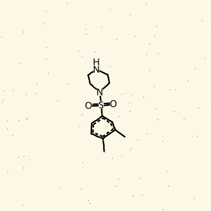 Cc1ccc(S(=O)(=O)N2CCNCC2)cc1C